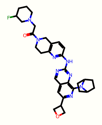 O=C(CN1CCCC(F)C1)N1CCc2nc(Nc3ncc4cc(C5COC5)nc(N5C6CCC5CC6)c4n3)ccc2C1